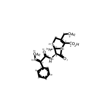 CC(=O)OCC1=C(C(=O)O)N2C(=O)[C@@H](NC(=O)/C(=N\OC(C)=O)c3ccccc3)[C@H]2SC1